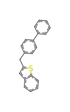 c1ccc(-c2ccc(Cc3cc4ccccc4s3)cc2)cc1